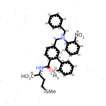 CSCCC(NC(=O)c1ccc(CN(Cc2ccccc2)c2ccccc2[N+](=O)[O-])cc1-c1ccccc1C)C(=O)O